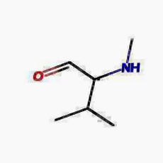 CN[C](C=O)C(C)C